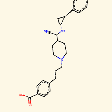 N#CC(N[C@@H]1C[C@H]1c1ccccc1)C1CCN(CCCc2ccc(C(=O)O)cc2)CC1